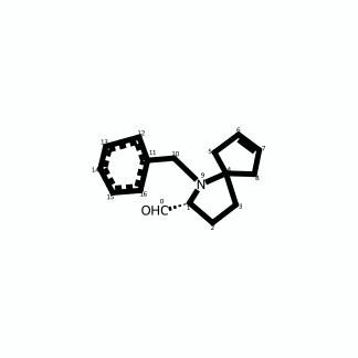 O=C[C@H]1CCC2(CC=CC2)N1Cc1ccccc1